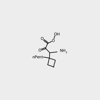 CCCCCC1(C(C)C(=O)C(=O)OO)CCC1.N